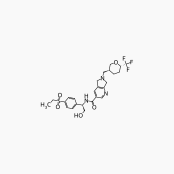 CCS(=O)(=O)c1ccc([C@H](CO)NC(=O)c2cnc3c(c2)CN(C[C@@H]2CC[C@@H](C(F)(F)F)OC2)C3)cc1